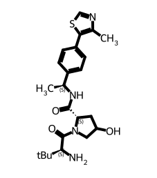 Cc1ncsc1-c1ccc([C@H](C)NC(=O)[C@@H]2CC(O)CN2C(=O)[C@@H](N)C(C)(C)C)cc1